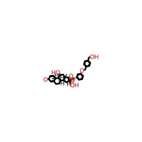 C[C@]12C=CC(=O)C=C1CC[C@@H]1[C@@H]2[C@@H](O)C[C@@]2(C)[C@H]1C[C@H]1O[C@@H](c3cccc(OCc4ccc(CO)cc4)c3)O[C@]12C(=O)CO